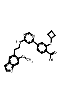 COc1cc2occc2cc1CCNc1cc(-c2ccc(C(=O)O)c(OC3CCC3)c2)ncn1